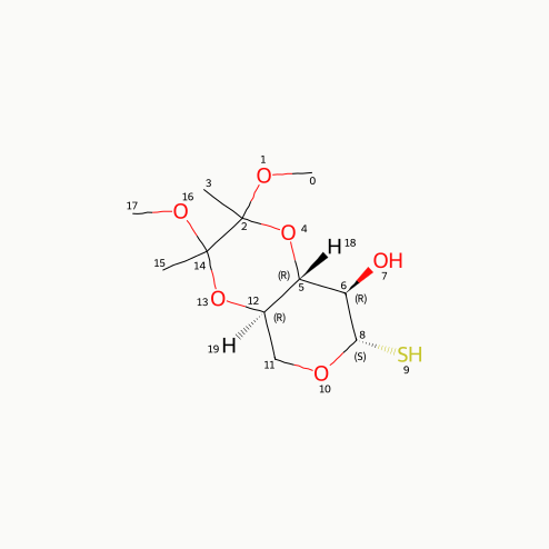 COC1(C)O[C@@H]2[C@@H](O)[C@H](S)OC[C@H]2OC1(C)OC